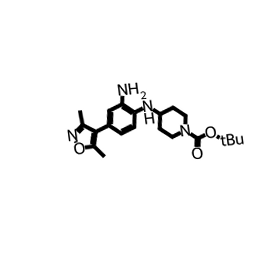 Cc1noc(C)c1-c1ccc(NC2CCN(C(=O)OC(C)(C)C)CC2)c(N)c1